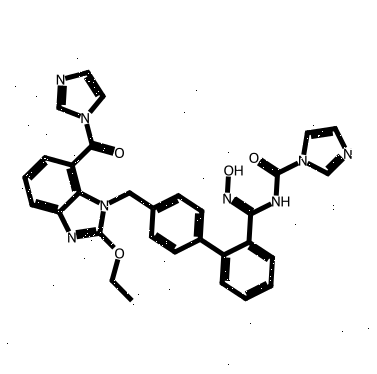 CCOc1nc2cccc(C(=O)n3ccnc3)c2n1Cc1ccc(-c2ccccc2C(=NO)NC(=O)n2ccnc2)cc1